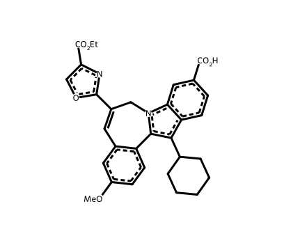 CCOC(=O)c1coc(C2=Cc3cc(OC)ccc3-c3c(C4CCCCC4)c4ccc(C(=O)O)cc4n3C2)n1